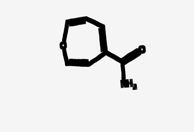 NC(=O)C1=CC=COC=C1